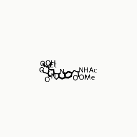 CC[C@@]1(O)C(=O)OCc2c1cc1n(c2=O)Cc2cc3ccc(CC(NC(C)=O)C(=O)OC)cc3nc2-1